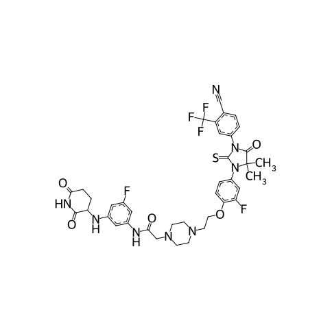 CC1(C)C(=O)N(c2ccc(C#N)c(C(F)(F)F)c2)C(=S)N1c1ccc(OCCN2CCN(CC(=O)Nc3cc(F)cc(NC4CCC(=O)NC4=O)c3)CC2)c(F)c1